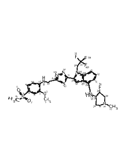 COc1cc(S(C)(=O)=O)ccc1NCc1nnc(-c2cc3c(N[C@@H]4CCN(C)C[C@@H]4F)cccc3n2CC(F)(F)F)s1